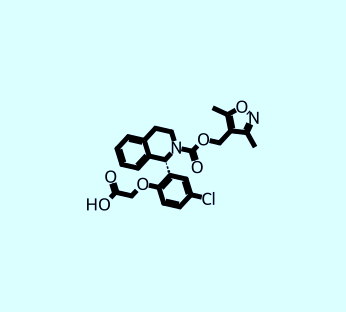 Cc1noc(C)c1COC(=O)N1CCc2ccccc2[C@H]1c1cc(Cl)ccc1OCC(=O)O